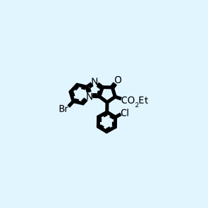 CCOC(=O)C1C(=O)c2nc3ccc(Br)cn3c2C1c1ccccc1Cl